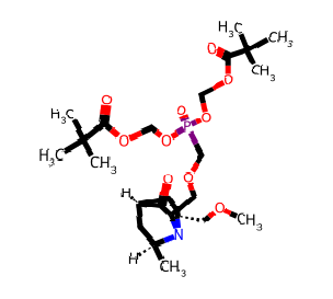 COC[C@@]1(COCP(=O)(OCOC(=O)C(C)(C)C)OCOC(=O)C(C)(C)C)C(=O)[C@@H]2CCN1[C@@H](C)C2